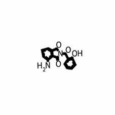 Nc1cccc2c1C(=O)N(C(=O)c1ccccc1O)C2=O